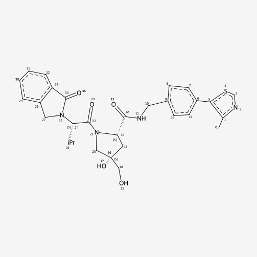 Cc1ncsc1-c1ccc(CNC(=O)[C@@H]2C[C@@](O)(CO)CN2C(=O)[C@H](C(C)C)N2Cc3ccccc3C2=O)cc1